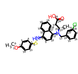 COc1ccc(SNc2ccc(N(Cc3cccc(Cl)c3)[C@@H](C)CC(=O)O)c3ccccc23)cc1